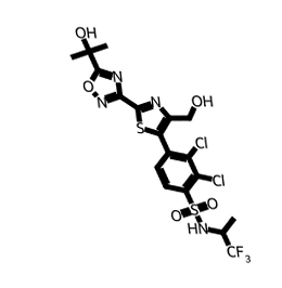 CC(NS(=O)(=O)c1ccc(-c2sc(-c3noc(C(C)(C)O)n3)nc2CO)c(Cl)c1Cl)C(F)(F)F